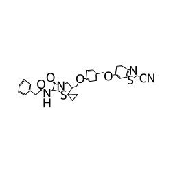 N#Cc1nc2ccc(OCc3ccc(OCC4CN5C(=O)C(NC(=O)Cc6ccccc6)C5SC45CC5)cc3)cc2s1